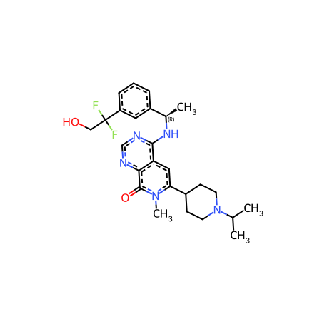 CC(C)N1CCC(c2cc3c(N[C@H](C)c4cccc(C(F)(F)CO)c4)ncnc3c(=O)n2C)CC1